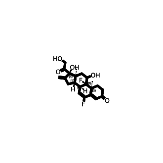 C=C1C[C@H]2[C@@H]3C=C(F)C4=CC(=O)CC[C@]4(C)[C@@]3(F)C(O)C[C@]2(C)[C@@]1(O)C(=O)CO